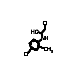 Cc1cc(Cl)ccc1NC(O)CCl